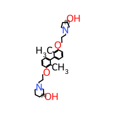 Cc1c(OCCCN2CCC[C@@H](O)C2)cccc1-c1cccc(OCCCN2CC[C@@H](O)C2)c1C